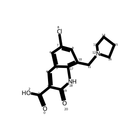 O=C(O)c1cc2cc(Cl)cc(CN3CCCC3)c2[nH]c1=O